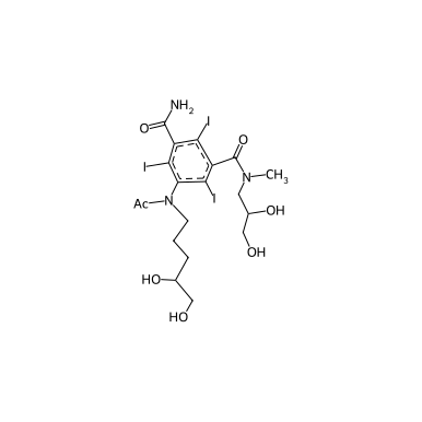 CC(=O)N(CCCC(O)CO)c1c(I)c(C(N)=O)c(I)c(C(=O)N(C)CC(O)CO)c1I